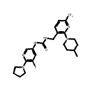 CC1CCN(c2nc(C(F)(F)F)ccc2CNC(=O)Nc2cnc(N3CCCC3)c(F)c2)CC1